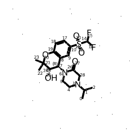 CC(C)N1CCN([C@@H]2c3cc(S(=O)(=O)C(F)F)ccc3OC(C)(C)[C@H]2O)C(=O)C1